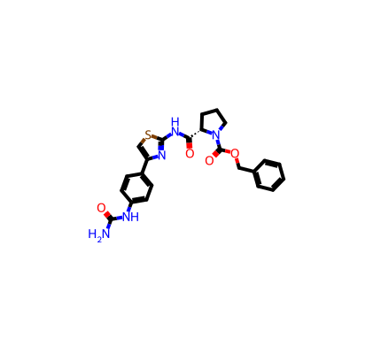 NC(=O)Nc1ccc(-c2csc(NC(=O)[C@@H]3CCCN3C(=O)OCc3ccccc3)n2)cc1